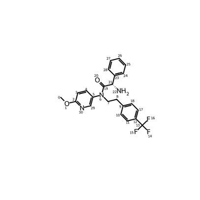 COc1ccc(N(CCc2ccc(C(F)(F)F)cc2)C(=O)[C@@H](N)c2ccccc2)cn1